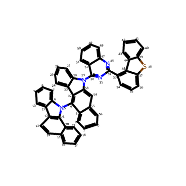 c1ccc2c(-n3c4ccccc4c4ccc5ccccc5c43)c3c4ccccc4n(-c4nc(-c5cccc6sc7ccccc7c56)nc5ccccc45)c3cc2c1